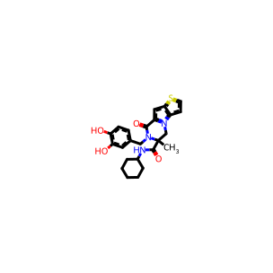 CC1(C(=O)NC2CCCCC2)Cn2c(cc3sccc32)C(=O)N1Cc1ccc(O)c(O)c1